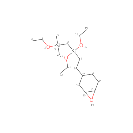 CCO[Si](C)(C)C[Si](CCC1CCC2OC2C1)(OCC)OCC